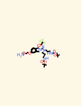 CC(C)(C)OC(=O)NCCCN(CCCNC(=O)OC(C)(C)C)/C(=N/C(=O)C(F)(F)F)N1Cc2ccc(OCCON)cc2C1